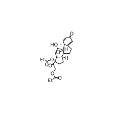 CCC(=O)OCC(=O)[C@]1(OC(=O)CC)[C@@H](C)C[C@H]2[C@@H]3CCC4=CC(=O)C=C[C@]4(C)[C@@]3(Cl)[C@@H](O)C[C@@]21C